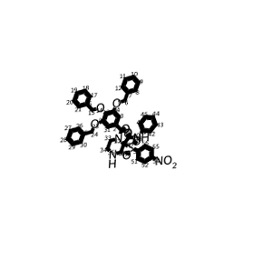 O=C(c1cc(OCc2ccccc2)c(OCc2ccccc2)c(OCc2ccccc2)c1)N1CCNCC1(C(=O)Nc1ccccc1)S(=O)(=O)c1ccc([N+](=O)[O-])cc1